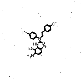 CCc1ccc(N)c(CC)c1NC(=O)N(CCc1ccc(C(F)(F)F)cc1)c1ccc(C(C)C)cc1